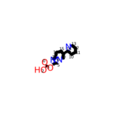 O=C(O)Oc1cn2cc(-c3ccccn3)ccc2n1